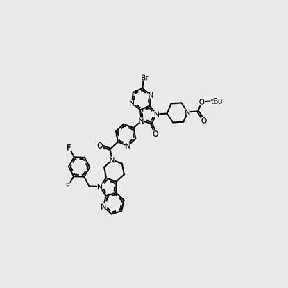 CC(C)(C)OC(=O)N1CCC(n2c(=O)n(-c3ccc(C(=O)N4CCc5c(n(Cc6ccc(F)cc6F)c6ncccc56)C4)nc3)c3ncc(Br)nc32)CC1